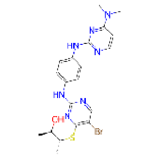 C[C@@H](O)[C@@H](C)Sc1nc(Nc2ccc(Nc3nccc(N(C)C)n3)cc2)ncc1Br